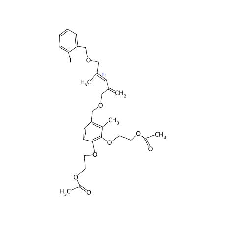 C=C(/C=C(\C)COCc1ccccc1I)COCc1ccc(OCCOC(C)=O)c(OCCOC(C)=O)c1C